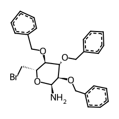 N[C@H]1O[C@H](CBr)[C@@H](OCc2ccccc2)[C@H](OCc2ccccc2)[C@H]1OCc1ccccc1